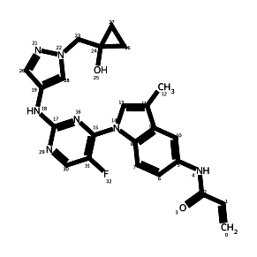 C=CC(=O)Nc1ccc2c(c1)c(C)cn2-c1nc(Nc2cnn(CC3(O)CC3)c2)ncc1F